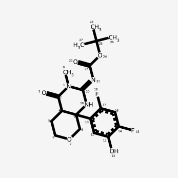 CN1C(=O)C2CCOCC2(c2cc(O)c(F)cc2F)NC1=NC(=O)OC(C)(C)C